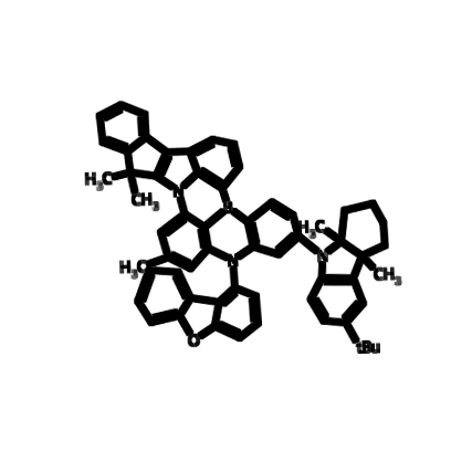 Cc1cc2c3c(c1)-n1c4c(c5cccc(c51)B3c1ccc(N3c5ccc(C(C)(C)C)cc5C5(C)CCCCC35C)cc1N2c1cccc2oc3ccccc3c12)-c1ccccc1C4(C)C